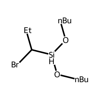 CCCCO[SiH](OCCCC)C(Br)CC